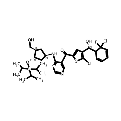 CC(C)[Si](O[C@H]1C[C@H](Nc2ncncc2C(=O)c2cc([C@H](O)C3C=CC=CC3(F)Cl)c(Cl)s2)C[C@@H]1CO)(C(C)C)C(C)C